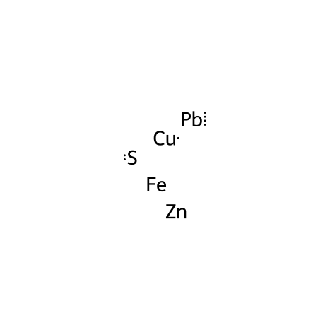 [Cu].[Fe].[Pb].[S].[Zn]